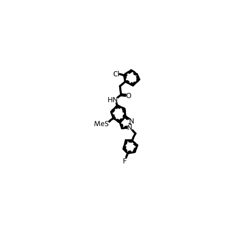 CSc1cc(NC(=O)Cc2ccccc2Cl)cc2nn(Cc3ccc(F)cc3)cc12